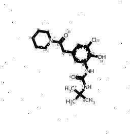 CC(C)(C)NC(=O)Nc1cc(CC(=O)N2CCCCC2)cc(Cl)c1O